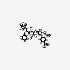 COC(=O)[C@H](Cc1cn(-c2ccc([N+](=O)[O-])cc2[N+](=O)[O-])cn1)NC(=O)[C@H](Cc1ccccc1)CS(=O)(=O)C(C)(C)C